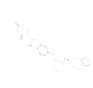 O=C1CCC(N2Cc3c(ccc(C[C@H]4OCCC[C@@H]4N[C@@H]4CCc5cn[nH]c5C4)c3F)C2=O)C(=O)N1